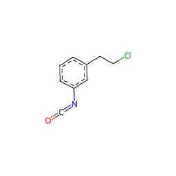 O=C=Nc1cccc(CCCl)c1